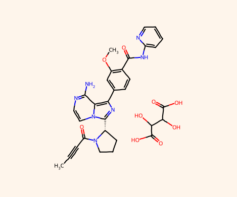 CC#CC(=O)N1CCC[C@H]1c1nc(-c2ccc(C(=O)Nc3ccccn3)c(OC)c2)c2c(N)nccn12.O=C(O)C(O)C(O)C(=O)O